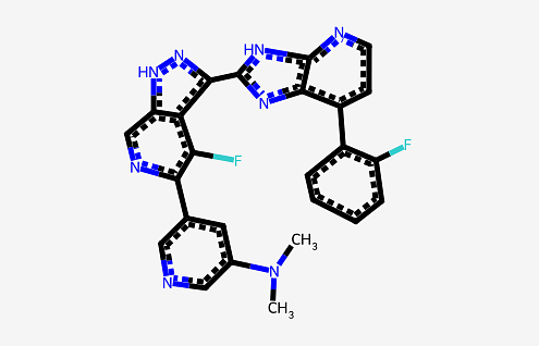 CN(C)c1cncc(-c2ncc3[nH]nc(-c4nc5c(-c6ccccc6F)ccnc5[nH]4)c3c2F)c1